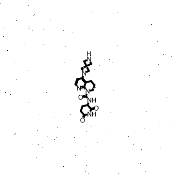 O=C1CCC(NC(=O)N2CCCc3c(N4CC5(CNC5)C4)ccnc32)C(=O)N1